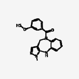 Cn1ncc2c1Nc1ccccc1N(C(=O)c1cccc(OS)c1)C2